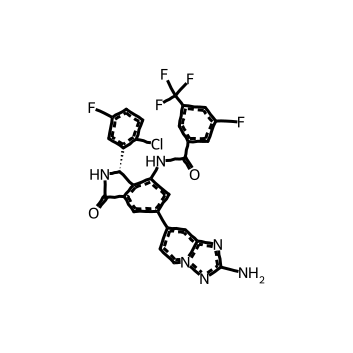 Nc1nc2cc(-c3cc(NC(=O)c4cc(F)cc(C(F)(F)F)c4)c4c(c3)C(=O)N[C@@H]4c3cc(F)ccc3Cl)ccn2n1